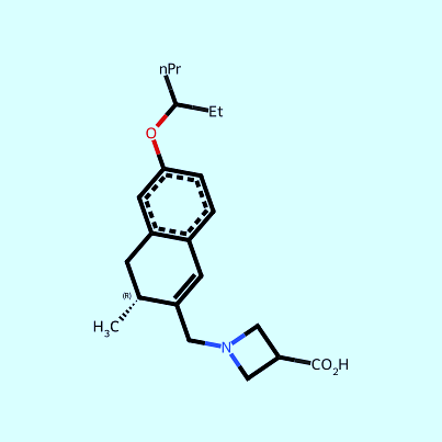 CCCC(CC)Oc1ccc2c(c1)C[C@@H](C)C(CN1CC(C(=O)O)C1)=C2